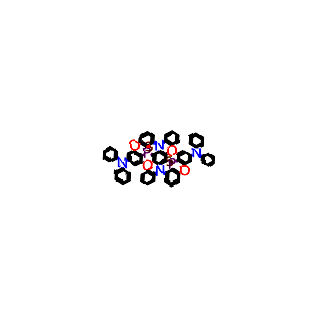 S=P12c3c4cc(N(c5ccccc5)c5ccccc5)cc3Oc3c5c6c(c(c31)N(c1ccccc1)c1cccc(c12)O4)Oc1cc(N(c2ccccc2)c2ccccc2)cc2c1P6(=S)c1c(cccc1N5c1ccccc1)O2